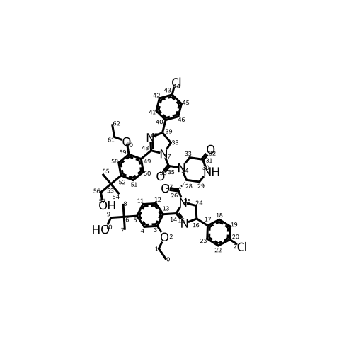 CCOc1cc(C(C)(C)CO)ccc1C1=NC(c2ccc(Cl)cc2)CN1C(=O)[C@H]1CNC(=O)CN1C(=O)N1CC(c2ccc(Cl)cc2)N=C1c1ccc(C(C)(C)CO)cc1OCC